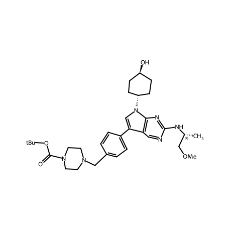 COC[C@@H](C)Nc1ncc2c(-c3ccc(CN4CCN(C(=O)OC(C)(C)C)CC4)cc3)cn([C@H]3CC[C@H](O)CC3)c2n1